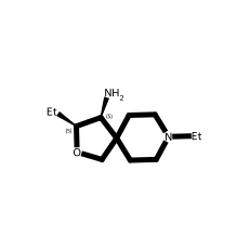 CC[C@@H]1OCC2(CCN(CC)CC2)[C@@H]1N